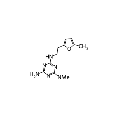 CNc1nc(N)nc(NCCc2ccc(C)o2)n1